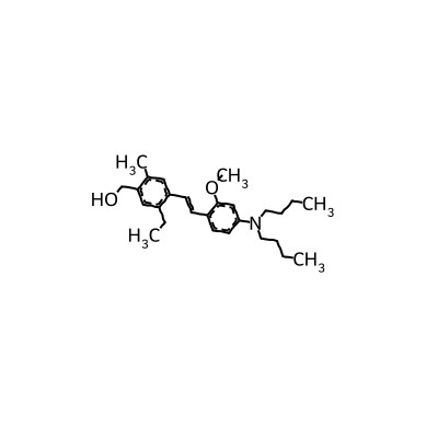 CCCCN(CCCC)c1ccc(C=Cc2cc(C)c(CO)cc2CC)c(OC)c1